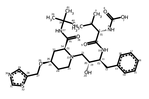 CC(C)[C@H](NC(=O)O)C(=O)N[C@@H](Cc1ccccc1)[C@H](O)CN1CC[C@@H](OCc2cncs2)C[C@H]1C(=O)NC(C)(C)C